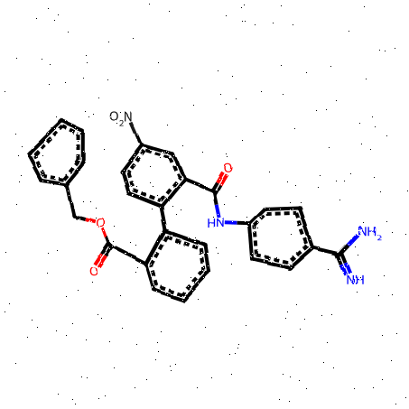 N=C(N)c1ccc(NC(=O)c2cc([N+](=O)[O-])ccc2-c2ccccc2C(=O)OCc2ccccc2)cc1